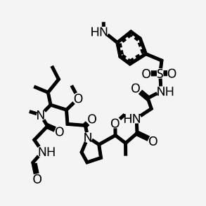 CCC(C)C(C(CC(=O)N1CCCC1C(OC)C(C)C(=O)NCC(=O)NS(=O)(=O)Cc1ccc(NC)cc1)OC)N(C)C(=O)CNC=O